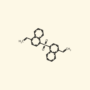 C=Cc1ccc(S(=O)(=O)c2ccc(C=C)c3ccccc23)c2ccccc12